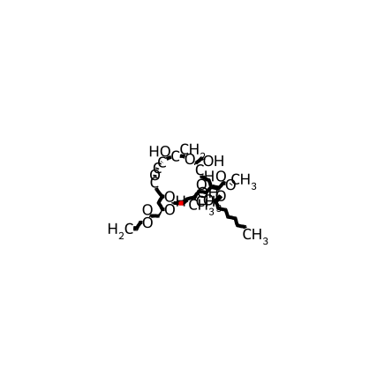 C=CCOC(=O)C[C@H]1CC2CCOCC[C@@H](O)CC(=C)OC(CO)C[C@@H]3C/C(=C\C(=O)OC)[C@H](OC(=O)CCCCCCC)[C@@](O)(O3)C(C)(C)/C=C/[C@H](O2)O1